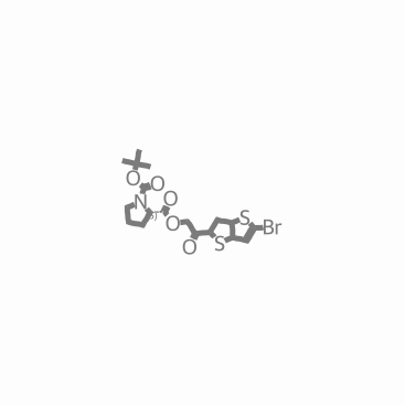 CC(C)(C)OC(=O)N1CCC[C@H]1C(=O)OCC(=O)C1CC2SC(Br)=CC2S1